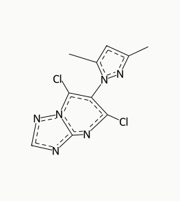 Cc1cc(C)n(-c2c(Cl)nc3ncnn3c2Cl)n1